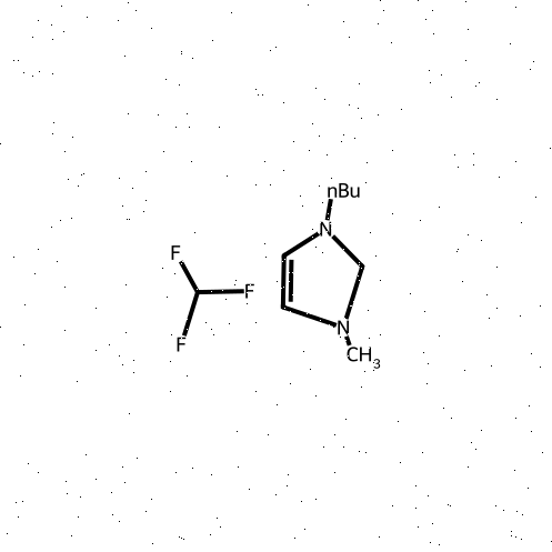 CCCCN1C=CN(C)C1.FC(F)F